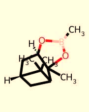 CB1O[C@@H]2C[C@H]3CC(C3(C)C)C2(C)O1